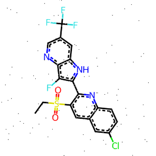 CCS(=O)(=O)c1cc2cc(Cl)ccc2nc1-c1[nH]c2cc(C(F)(F)F)cnc2c1F